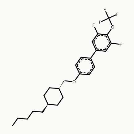 CCCCC[C@H]1CC[C@H](COc2ccc(-c3cc(F)c(OC(F)(F)F)c(F)c3)cc2)CC1